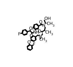 C[C@@H]1CN([C@@H](C)CO)C(=O)c2cccc(NC(=O)C(O)c3ccc(F)cc3)c2O[C@@H]1CN(C)Cc1ccc(Oc2ccccc2F)cc1